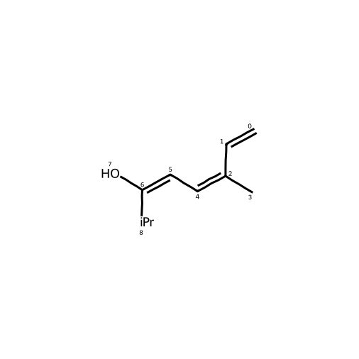 C=C/C(C)=C\C=C(\O)C(C)C